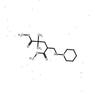 COC(=O)C(CNN1CCCCC1)CC(C)(C)C(=O)OC